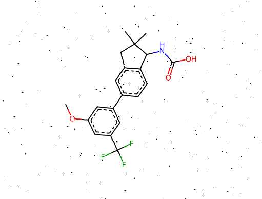 COc1cc(-c2ccc3c(c2)CC(C)(C)C3NC(=O)O)cc(C(F)(F)F)c1